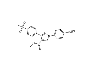 COC(=O)c1cn(-c2ccc(C#N)cc2)nc1-c1ccc(S(C)(=O)=O)cc1